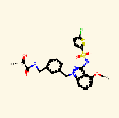 COc1cccc2c1c(NS(=O)(=O)c1ccc(Cl)s1)nn2Cc1cccc(CNC(=O)[C@H](C)O)c1